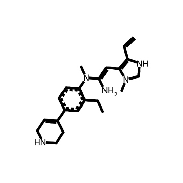 C=CC1=C(/C=C(\N)N(C)c2ccc(C3=CCNCC3)cc2CC)N(C)CN1